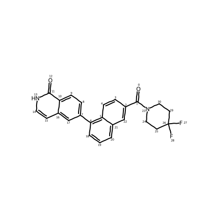 O=C(c1ccc2c(-c3ccc4c(=O)[nH]ccc4c3)cccc2c1)N1CCC(F)(F)CC1